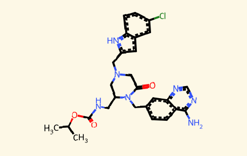 CC(C)OC(=O)NCC1CN(Cc2cc3cc(Cl)ccc3[nH]2)CC(=O)N1Cc1ccc2c(N)ncnc2c1